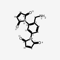 NCc1ccc(N2C(=O)C=CC2=O)cc1N1C(=O)C=CC1=O